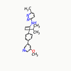 COc1cncc(-c2ccc(C3(C(C)C)CC=C3Nc3ccc(C)nn3)cc2)c1